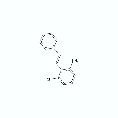 Nc1cccc(Cl)c1C=Cc1ccccc1